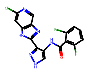 O=C(Nc1c[nH]nc1-c1nc2cnc(Cl)cc2[nH]1)c1c(F)cccc1F